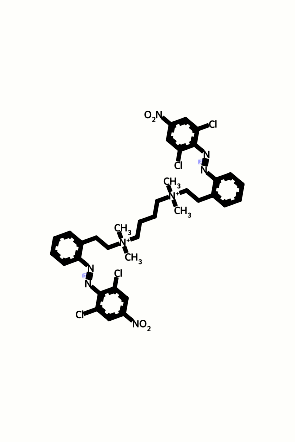 C[N+](C)(CCCC[N+](C)(C)CCc1ccccc1/N=N/c1c(Cl)cc([N+](=O)[O-])cc1Cl)CCc1ccccc1/N=N/c1c(Cl)cc([N+](=O)[O-])cc1Cl